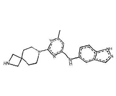 Cc1cc(Nc2ccc3[nH]ncc3c2)nc(N2CCC3(CC2)CNC3)n1